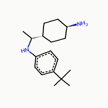 CC(Nc1ccc(C(C)(C)C)cc1)[C@H]1CC[C@H](N)CC1